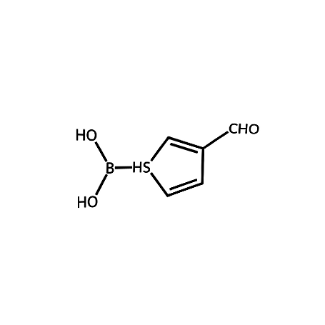 O=CC1=C[SH](B(O)O)C=C1